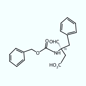 O=C[C@@](CC(=O)O)(Cc1ccccc1)NC(=O)OCc1ccccc1